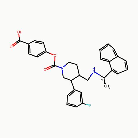 C[C@@H](NCC1CCN(C(=O)Oc2ccc(C(=O)O)cc2)CC1c1cccc(F)c1)c1cccc2ccccc12